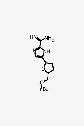 CCCCOC[C@@H]1CCC(c2cnc(C(=N)N)[nH]2)O1